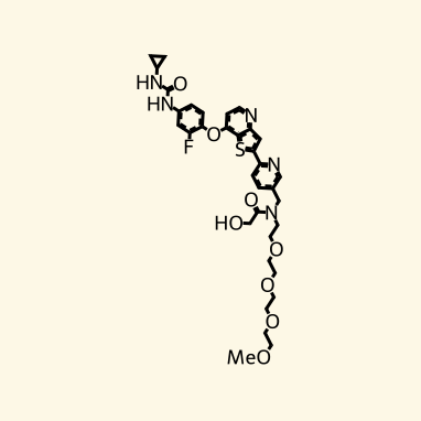 COCCOCCOCCOCCN(Cc1ccc(-c2cc3nccc(Oc4ccc(NC(=O)NC5CC5)cc4F)c3s2)nc1)C(=O)CO